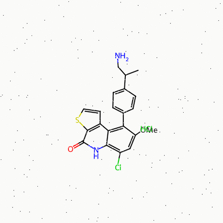 COc1cc(Cl)c2[nH]c(=O)c3sccc3c2c1-c1ccc(C(C)CN)cc1.Cl